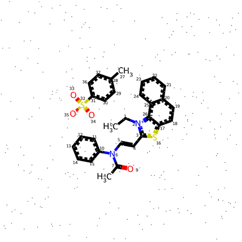 CC[n+]1c(C=CN(C(C)=O)c2ccccc2)sc2ccc3ccccc3c21.Cc1ccc(S(=O)(=O)[O-])cc1